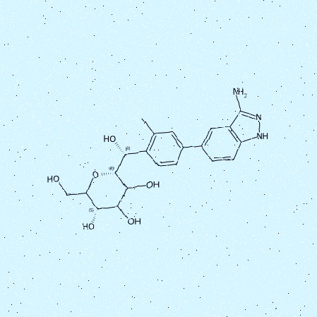 Cc1cc(-c2ccc3[nH]nc(N)c3c2)ccc1[C@@H](O)[C@H]1OC(CO)[C@@H](O)C(O)C1O